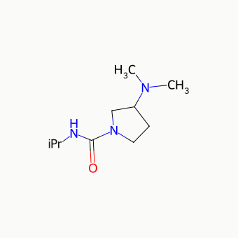 CC(C)NC(=O)N1CCC(N(C)C)C1